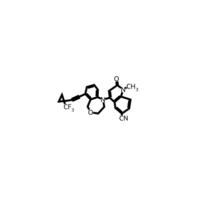 Cn1c(=O)cc(N2CCOCc3c(C#CC4(C(F)(F)F)CC4)cccc32)c2cc(C#N)ccc21